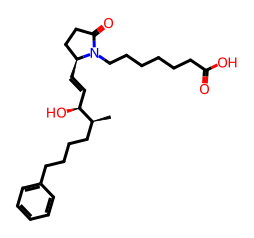 C[C@@H](CCCCc1ccccc1)[C@@H](O)C=C[C@H]1CCC(=O)N1CCCCCCC(=O)O